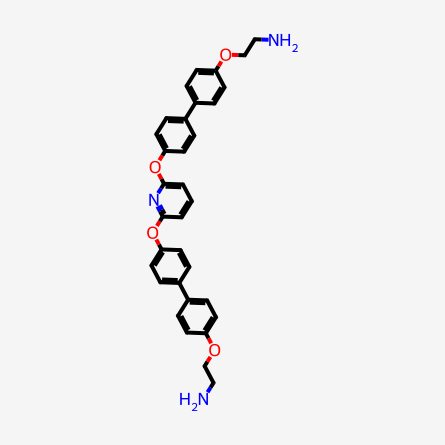 NCCOc1ccc(-c2ccc(Oc3cccc(Oc4ccc(-c5ccc(OCCN)cc5)cc4)n3)cc2)cc1